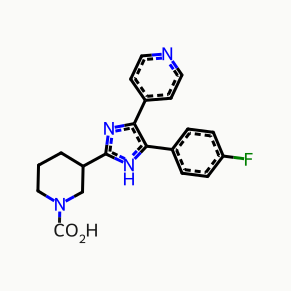 O=C(O)N1CCCC(c2nc(-c3ccncc3)c(-c3ccc(F)cc3)[nH]2)C1